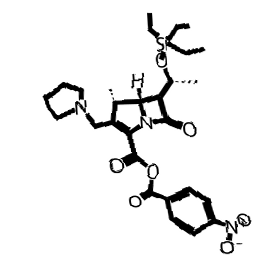 CC[Si](CC)(CC)O[C@H](C)C1C(=O)N2C(C(=O)OC(=O)c3ccc([N+](=O)[O-])cc3)=C(CN3CCCC3)[C@H](C)[C@H]12